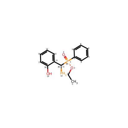 CCO[P@](=O)(c1ccccc1)[C@@H](P)c1ccccc1O